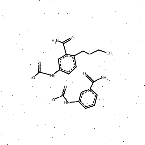 CCCCc1ccc(NC([O])=O)cc1C(N)=O.NC(=O)c1cccc(NC([O])=O)c1